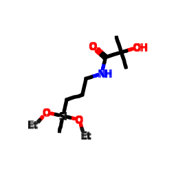 CCO[Si](C)(CCCNC(=O)C(C)(C)O)OCC